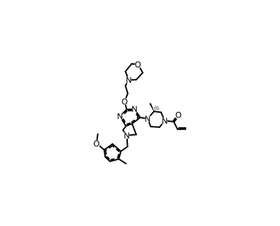 C=CC(=O)N1CCN(c2nc(OCCN3CCOCC3)nc3c2CN(Cc2cc(OC)ccc2C)C3)[C@@H](C)C1